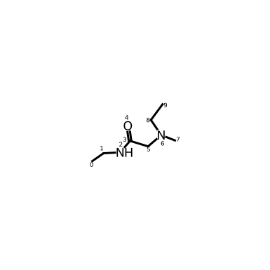 CCNC(=O)CN(C)CC